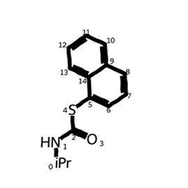 CC(C)NC(=O)Sc1cccc2ccccc12